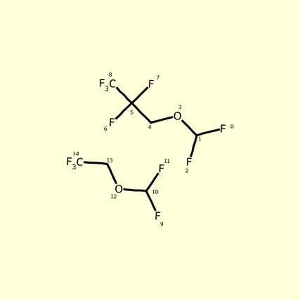 FC(F)OCC(F)(F)C(F)(F)F.FC(F)OCC(F)(F)F